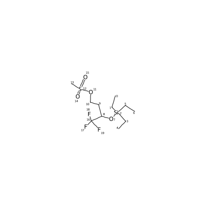 CC[Si](CC)(CC)OC(CCOS(C)(=O)=O)C(F)(F)F